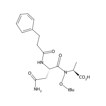 C[C@@H](C(=O)O)N(OC(C)(C)C)C(=O)[C@H](CC(N)=O)NC(=O)CCc1ccccc1